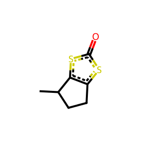 CC1CCc2sc(=O)sc21